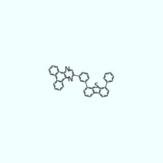 c1ccc(-c2cccc3c2sc2c(-c4cccc(-c5cnc6c7ccccc7c7ccccc7c6n5)c4)cccc23)cc1